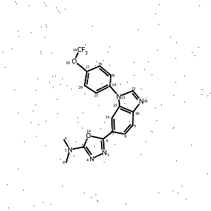 CN(C)c1nnc(-c2ccc3ncn(-c4ccc(OC(F)(F)F)cc4)c3c2)o1